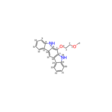 COCCOc1c2[nH]c3ccccc3c2cc2c1[nH]c1ccccc12